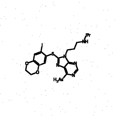 CC(C)NCCCn1c(Sc2cc3c(cc2I)OCCO3)nc2c([AsH2])ncnc21